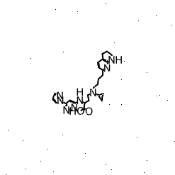 O=C(O)C(CCN(CCCCc1ccc2c(n1)NCCC2)C1CC1)Nc1cc(-n2cccn2)ncn1